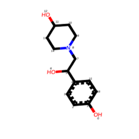 Oc1ccc(C(O)CN2CCC(O)CC2)cc1